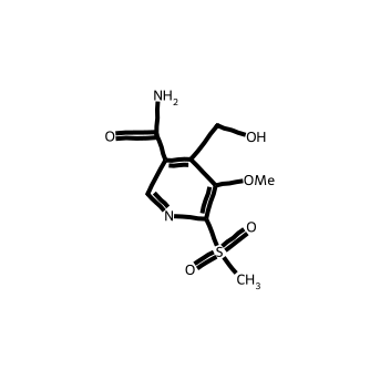 COc1c(S(C)(=O)=O)ncc(C(N)=O)c1CO